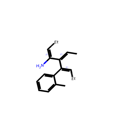 C/C=C(C(/N)=C\CC)\C(=C\CC)c1ccccc1C